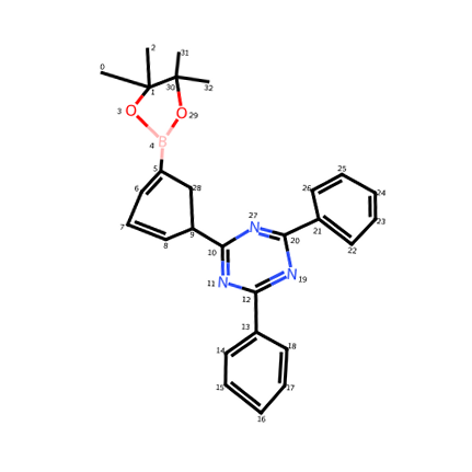 CC1(C)OB(C2=CC=CC(c3nc(-c4ccccc4)nc(-c4ccccc4)n3)C2)OC1(C)C